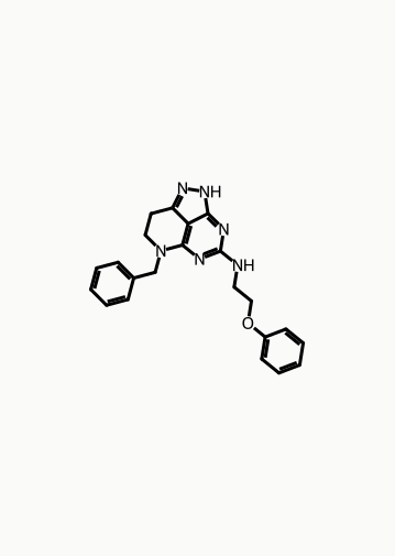 c1ccc(CN2CCc3n[nH]c4nc(NCCOc5ccccc5)nc2c34)cc1